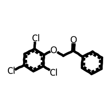 O=C(COc1c(Cl)cc(Cl)cc1Cl)c1ccccc1